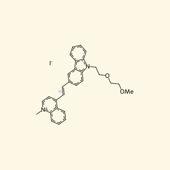 COCCOCCn1c2ccccc2c2cc(/C=C/c3cc[n+](C)c4ccccc34)ccc21.[I-]